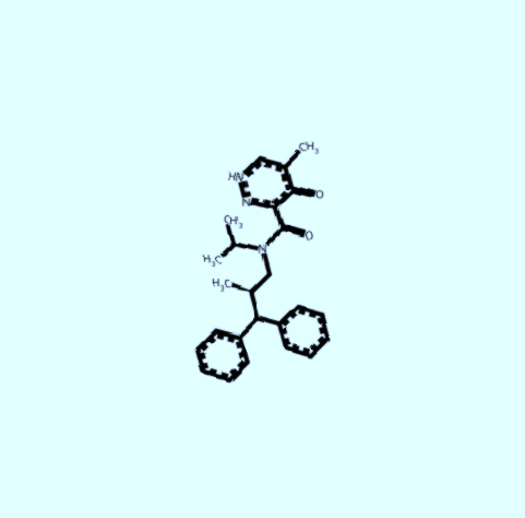 Cc1c[nH]nc(C(=O)N(C[C@H](C)C(c2ccccc2)c2ccccc2)C(C)C)c1=O